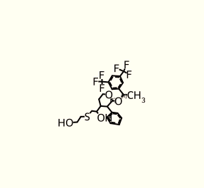 C[C@@H](O[C@@H]1OCCC(C(O)CSCCO)C1c1ccccc1)c1cc(C(F)(F)F)cc(C(F)(F)F)c1